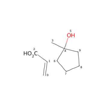 C=CC(=O)O.CC1(O)CCCC1